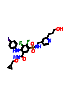 O=C(NOCC1CC1)c1cc(S(=O)(=O)NCc2ccnc(CCCO)c2)c(F)c(F)c1Nc1ccc(I)cc1